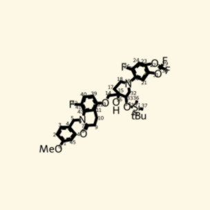 COc1ccc(CN2C(=O)CCc3c(OCC4(O)CCN(c5cc6c(cc5F)OC(F)(F)O6)CC4O[Si](C)(C)C(C)(C)C)ccc(F)c32)cc1